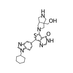 O=c1[nH]cnc2c(-c3ccc4c(c3)ncn4C3CCCCC3)sc(N3CC4CNCC4(CO)C3)c12